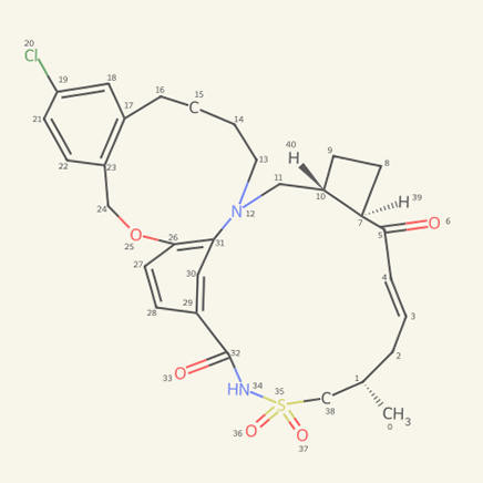 C[C@H]1C/C=C/C(=O)[C@@H]2CC[C@H]2CN2CCCCc3cc(Cl)ccc3COc3ccc(cc32)C(=O)NS(=O)(=O)C1